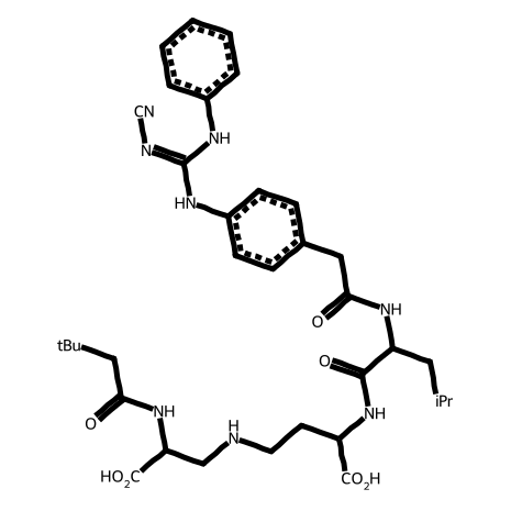 CC(C)CC(NC(=O)Cc1ccc(NC(=NC#N)Nc2ccccc2)cc1)C(=O)NC(CCNCC(NC(=O)CC(C)(C)C)C(=O)O)C(=O)O